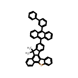 CC1(C)c2cc(-c3c4ccccc4c(-c4cccc(-c5ccccc5)c4)c4ccccc34)ccc2-c2c1c1ccccc1c1sc3ccccc3c21